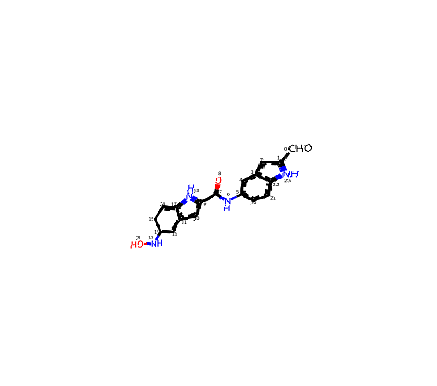 O=Cc1cc2cc(NC(=O)c3cc4c([nH]3)=CCC(NO)C=4)ccc2[nH]1